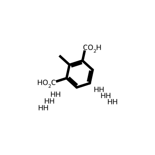 Cc1c(C(=O)O)cccc1C(=O)O.[HH].[HH].[HH].[HH].[HH].[HH]